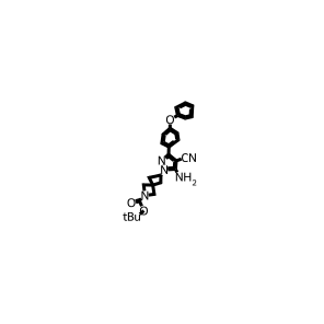 CC(C)(C)OC(=O)N1CC2(CC(n3nc(-c4ccc(Oc5ccccc5)cc4)c(C#N)c3N)C2)C1